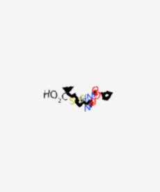 O=C(Nc1ocnc1-c1cc2sc(C3(C(=O)O)CC3)cc2s1)OCc1ccccc1